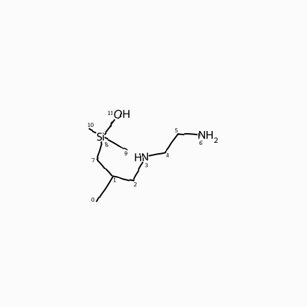 CC(CNCCN)C[Si](C)(C)O